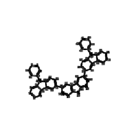 c1ccc(-n2c3ccccc3c3cc(-c4cc5c(cn4)sc4nnc(-c6ccc7c(c6)c6ccccc6n7-c6ccccc6)cc45)ccc32)cc1